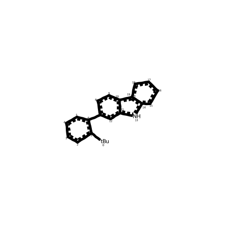 CC(C)(C)c1ccccc1-c1ccc2c(c1)[nH]c1ccccc12